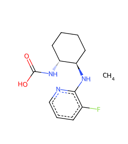 C.O=C(O)N[C@@H]1CCCC[C@H]1Nc1ncccc1F